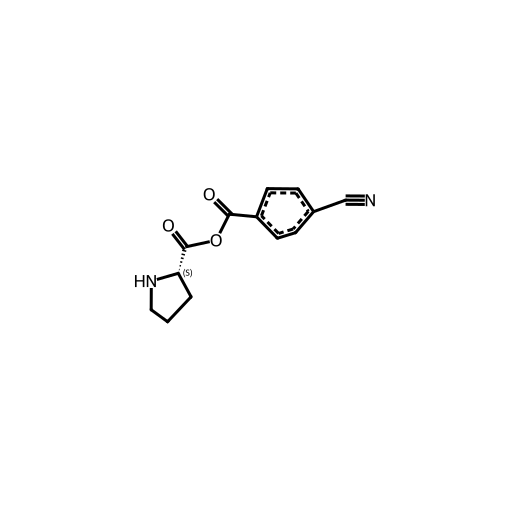 N#Cc1ccc(C(=O)OC(=O)[C@@H]2CCCN2)cc1